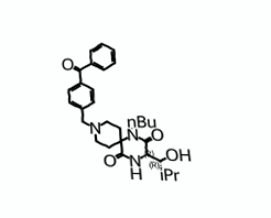 CCCCN1C(=O)[C@@H]([C@H](O)C(C)C)NC(=O)C12CCN(Cc1ccc(C(=O)c3ccccc3)cc1)CC2